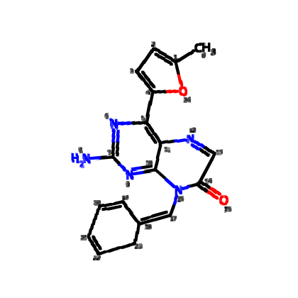 Cc1ccc(-c2nc(N)nc3c2ncc(=O)n3C=C2C=CC=CC2)o1